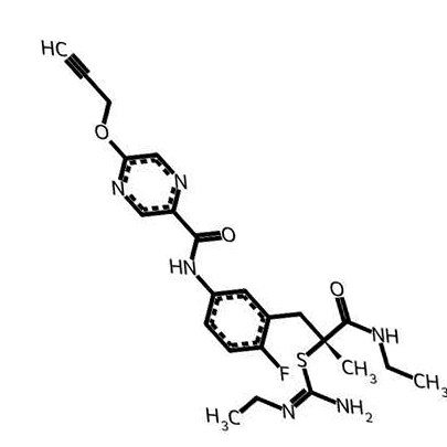 C#CCOc1cnc(C(=O)Nc2ccc(F)c(C[C@@](C)(S/C(N)=N\CC)C(=O)NCC)c2)cn1